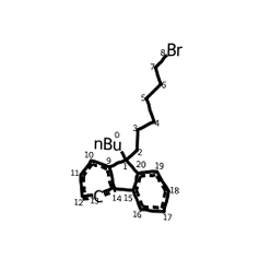 CCCCC1(CCCCCCBr)c2ccccc2-c2ccccc21